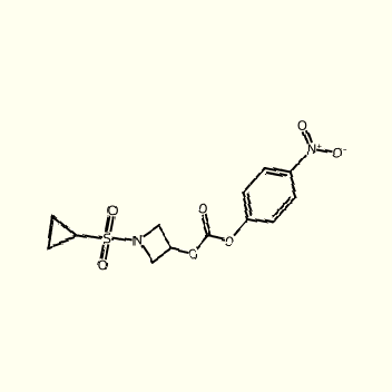 O=C(Oc1ccc([N+](=O)[O-])cc1)OC1CN(S(=O)(=O)C2CC2)C1